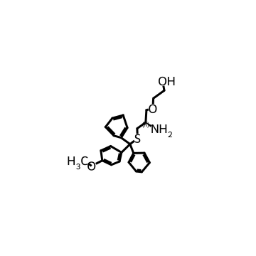 COc1ccc(C(SC[C@H](N)COCCO)(c2ccccc2)c2ccccc2)cc1